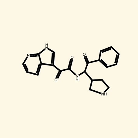 O=C(NC(C(=O)c1ccccc1)C1CCNC1)C(=O)c1c[nH]c2ncccc12